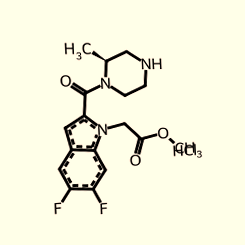 COC(=O)Cn1c(C(=O)N2CCNC[C@@H]2C)cc2cc(F)c(F)cc21.Cl